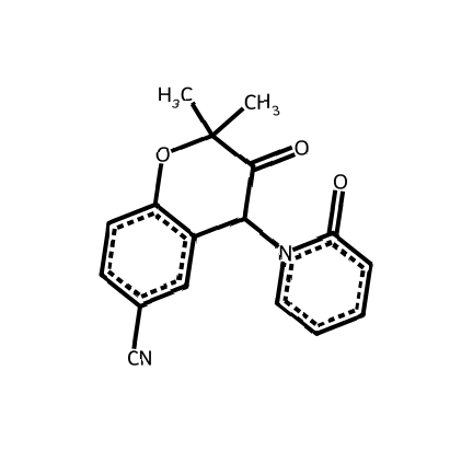 CC1(C)Oc2ccc(C#N)cc2C(n2ccccc2=O)C1=O